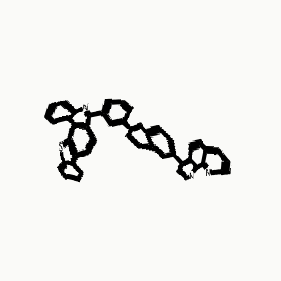 c1cc(-c2ccc3cc(-c4ccnc5c4ccc4cccnc45)ccc3c2)cc(-c2nc3ccccc3c3c2ccc2c4ccccc4sc23)c1